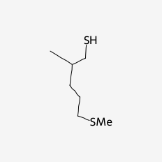 CSCCCC(C)CS